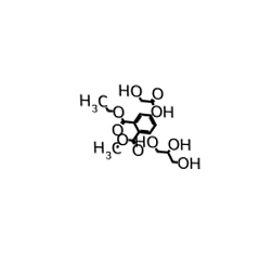 CCOC(=O)c1ccccc1C(=O)OC.O=C(O)CO.OCC(O)CO